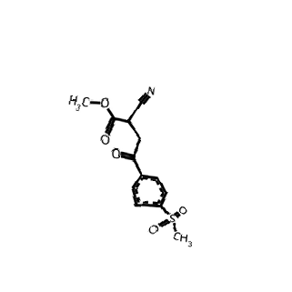 COC(=O)C(C#N)CC(=O)c1ccc(S(C)(=O)=O)cc1